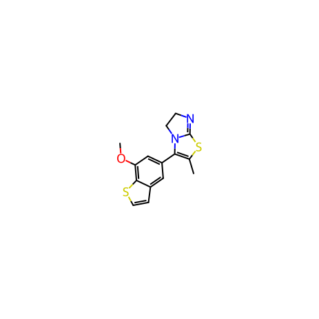 COc1cc(C2=C(C)SC3=NCCN32)cc2ccsc12